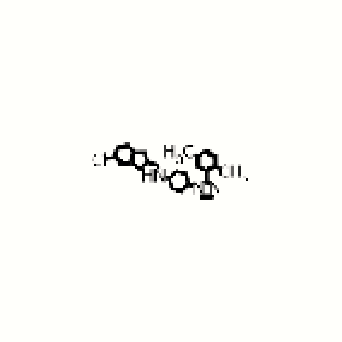 Cc1ccc(C)c(-c2nccn2C2CCC(NCC3Cc4ccc(Cl)cc4C3)CC2)c1